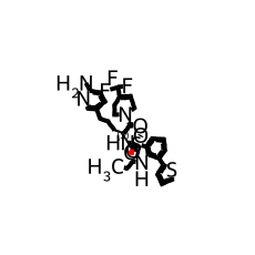 CCC(=O)Nc1c(-c2cccs2)cccc1S(=O)(=O)N[C@@H](CCCc1ccc(N)nc1)C(=O)N1CC=C(C(F)(F)F)CC1